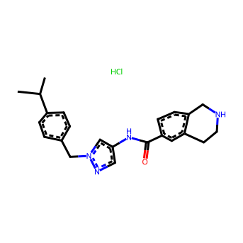 CC(C)c1ccc(Cn2cc(NC(=O)c3ccc4c(c3)CCNC4)cn2)cc1.Cl